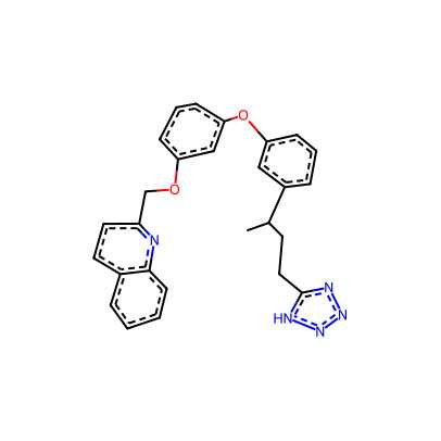 CC(CCc1nnn[nH]1)c1cccc(Oc2cccc(OCc3ccc4ccccc4n3)c2)c1